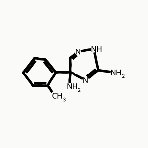 Cc1ccccc1C1(N)C=NNC(N)=N1